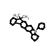 CC1(C)c2ccccc2-c2cc3cc4c5ccccc5n(-c5ccccc5)c4cc3cc21